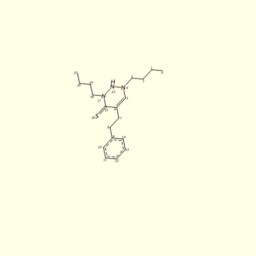 CCCCN1C=C(CCc2ccccc2)C(=S)N(CCCC)N1